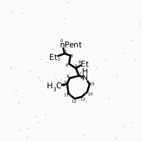 CCCCCC(CC)CCC(CC)C1CC(C)CCCCCN1